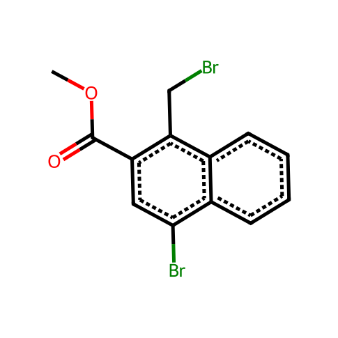 COC(=O)c1cc(Br)c2ccccc2c1CBr